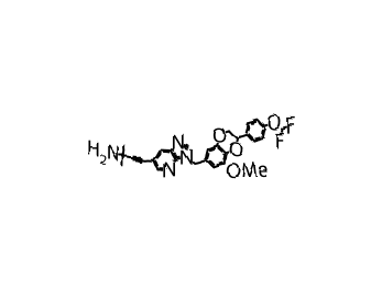 COc1cc(Cn2cnc3cc(C#CC(C)(C)N)cnc32)cc2c1OC(c1ccc(OC(F)F)cc1)CO2